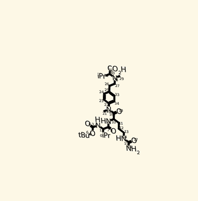 CC(C)C(NC(=O)OC(C)(C)C)C(=O)NC(CCCNC(N)=O)C(=O)N(C)c1ccc(CCN(C)C(C(=O)O)C(C)C)cc1